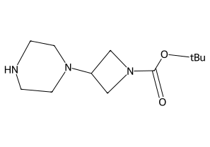 CC(C)(C)OC(=O)N1CC(N2CCNCC2)C1